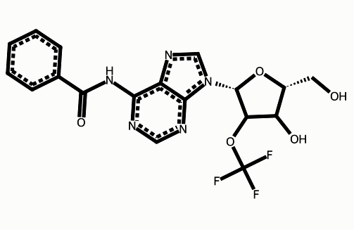 O=C(Nc1ncnc2c1ncn2[C@@H]1O[C@H](CO)C(O)C1OC(F)(F)F)c1ccccc1